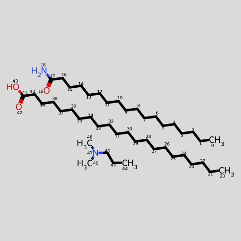 CCCCCCCCCCCCCCCCCC(N)=O.CCCCCCCCCCCCCCCCCCCCCC(=O)O.CCCN(C)C